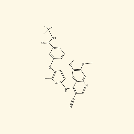 COc1cc2ncc(C#N)c(Nc3ccc(Oc4cccc(C(=O)NC(C)(C)C)c4)c(C)c3)c2cc1OC